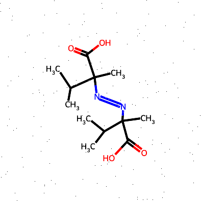 CC(C)C(C)(N=NC(C)(C(=O)O)C(C)C)C(=O)O